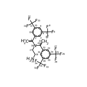 C=C(c1cc(C(F)(F)F)cc(C(F)(F)F)c1)N(CCN)C(=C)c1cc(C(F)(F)F)cc(C(F)(F)F)c1